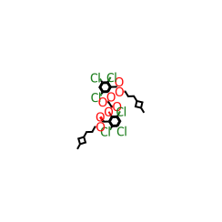 CC1CC(CCCOC(=O)c2c(Cl)c(Cl)cc(Cl)c2OC(=O)C(=O)Oc2c(Cl)cc(Cl)c(Cl)c2C(=O)OCCCC2CC(C)C2)C1